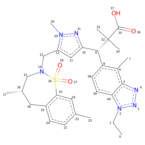 CCn1nnc2c(C)c([C@H](c3cc(CN4C[C@@H](C)Cc5ccc(C)cc5S4(=O)=O)n(C)n3)C(C)(C)C(=O)O)ccc21